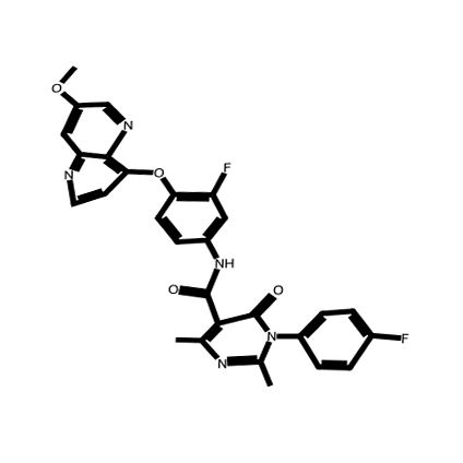 COc1cnc2c(Oc3ccc(NC(=O)c4c(C)nc(C)n(-c5ccc(F)cc5)c4=O)cc3F)ccnc2c1